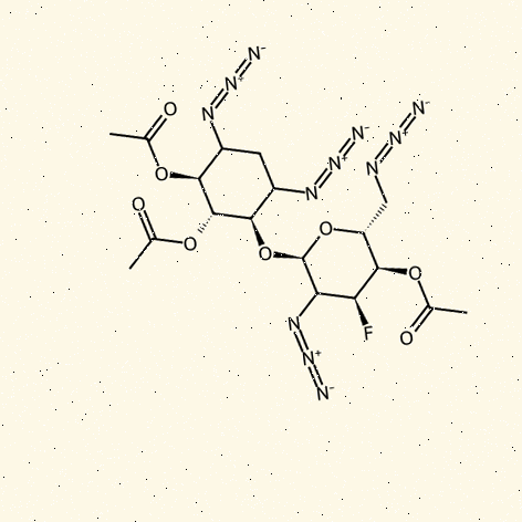 CC(=O)O[C@@H]1[C@@H](CN=[N+]=[N-])O[C@H](O[C@@H]2C(N=[N+]=[N-])CC(N=[N+]=[N-])[C@H](OC(C)=O)[C@H]2OC(C)=O)C(N=[N+]=[N-])[C@@H]1F